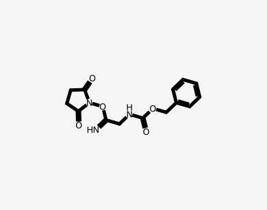 N=C(CNC(=O)OCc1ccccc1)ON1C(=O)CCC1=O